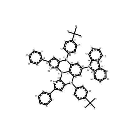 CC(C)(C)c1ccc(N2c3cc(-c4ccccc4)oc3B3c4oc(-c5ccccc5)cc4N(c4ccc(C(C)(C)C)cc4)c4cc(-n5c6ccccc6c6ccccc65)cc2c43)cc1